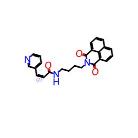 O=C(/C=C\c1cccnc1)NCCCCN1C(=O)c2cccc3cccc(c23)C1=O